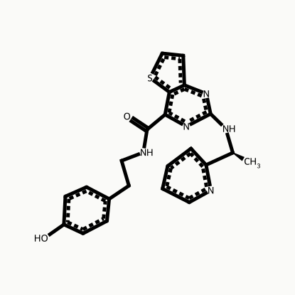 C[C@H](Nc1nc(C(=O)NCCc2ccc(O)cc2)c2sccc2n1)c1ccccn1